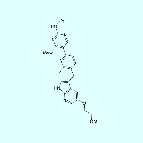 COCCOc1cnc2[nH]cc(Cc3ccc(-c4cnc(NC(C)C)nc4OC)nc3C)c2c1